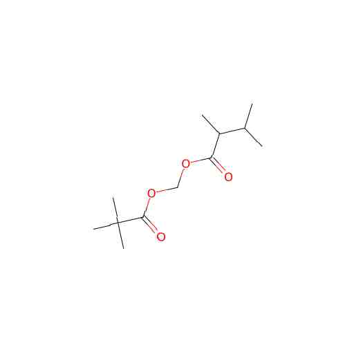 CC(C)C(C)C(=O)OCOC(=O)C(C)(C)C